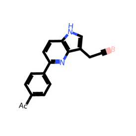 B#CCc1c[nH]c2ccc(-c3ccc(C(C)=O)cc3)nc12